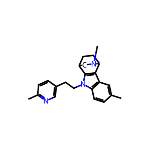 Cc1ccc2c(c1)c1c(n2CCc2ccc(C)nc2)C2CCC1N(C)C2